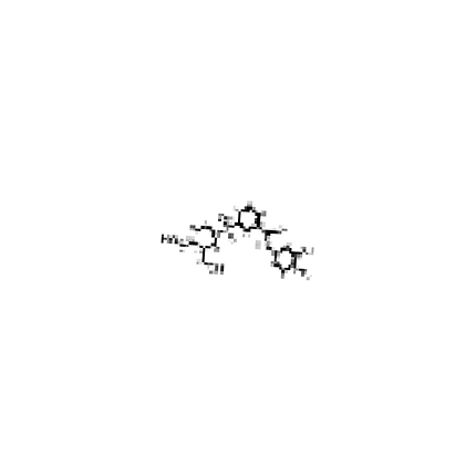 O=C(Nc1ccc(F)c(Cl)c1)c1cccc(S(=O)(=O)N2CCC(CO)C(CO)C2)c1